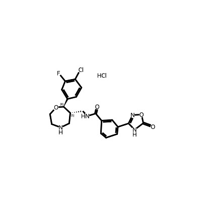 Cl.O=C(NC[C@@H]1CNCCO[C@H]1c1ccc(Cl)c(F)c1)c1cccc(-c2noc(=O)[nH]2)c1